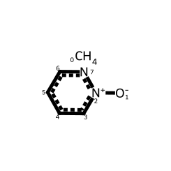 C.[O-][n+]1ccccn1